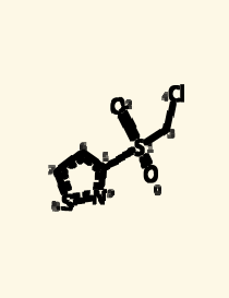 O=S(=O)(CCl)c1ccsn1